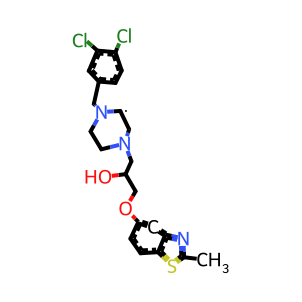 Cc1nc2cc(OCC(O)CN3C[CH]N(Cc4ccc(Cl)c(Cl)c4)CC3)ccc2s1